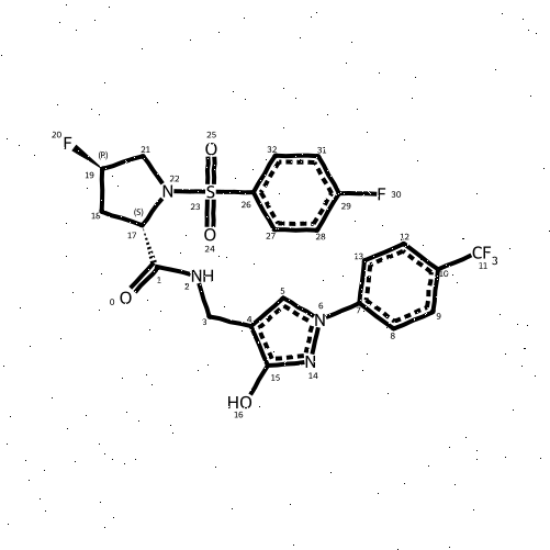 O=C(NCc1cn(-c2ccc(C(F)(F)F)cc2)nc1O)[C@@H]1C[C@@H](F)CN1S(=O)(=O)c1ccc(F)cc1